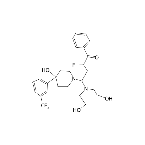 O=C(c1ccccc1)C(F)CC(N(CCO)CCO)N1CCC(O)(c2cccc(C(F)(F)F)c2)CC1